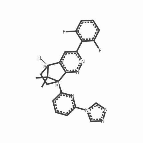 CC1(C)[C@H]2CC[C@@]1(c1cccc(-n3cnnc3)n1)c1nnc(-c3c(F)cccc3F)cc12